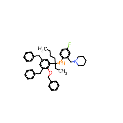 CCCCC(CC)(Pc1ccc(F)cc1CN1CCCCC1)c1cc(Cc2ccccc2)cc(Cc2ccccc2)c1OCc1ccccc1